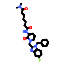 CN(C)C(=O)/C=C/CC[CH]C(=O)Nc1cccn(Cc2nc3cc(F)ccc3n2Cc2ccccc2)c1=O